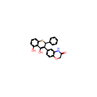 O=C1COc2ccc(C3=C(O)c4c(O)cccc4SC3c3ccccc3)cc2N1